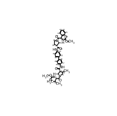 COC(=O)N[C@H](C(=O)N1CC(C)[C@H](C(=O)Nc2ccc(-c3ccc(NC(=O)[C@@H]4CCN(C(=O)[C@H](NC(=O)OC)c5ccccc5)C4)cc3)cc2)C1)C(C)C